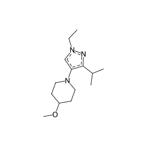 CCn1cc(N2CCC(OC)CC2)c(C(C)C)n1